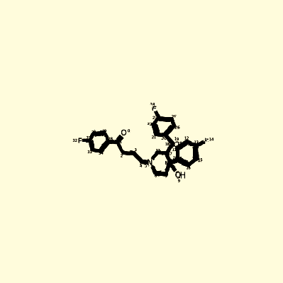 O=C(CCCN1CCC(O)(c2ccc(F)cc2)C(C(O)c2ccc(F)cc2)C1)c1ccc(F)cc1